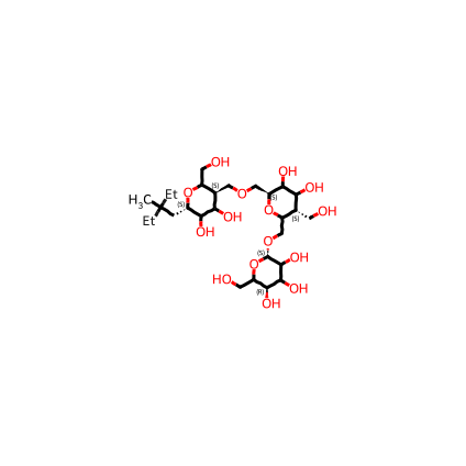 CCC(C)(CC)C[C@@H]1OC(CO)[C@@H](COC[C@@H]2OC(CO[C@H]3OC(CO)[C@H](O)C(O)C3O)[C@@H](CO)C(O)C2O)C(O)C1O